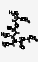 CCOC(=O)N(CC)C(C)CC(=O)OCC(C)C